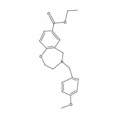 CCOC(=O)c1ccc2c(c1)CN(Cc1ccc(OC)cc1)CCO2